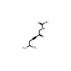 CC(C)CC#CC(=O)CNC(=O)O